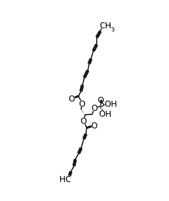 C#CC#CC#CC#CC(=O)O[C@H](COC(=O)C#CC#CC#CC#CC#CC)COP(=O)(O)O